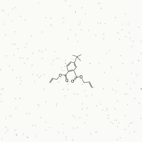 C=CCOC(=O)c1ccc(C(C)(C)C)cc1C(=O)OCC=C